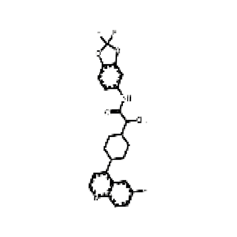 CC(C(=O)Nc1ccc2c(c1)OC(F)(F)O2)C1CCC(c2ccnc3ccc(F)cc23)CC1